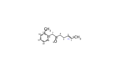 C/C=C/CCC(=O)Cc1ccccc1C